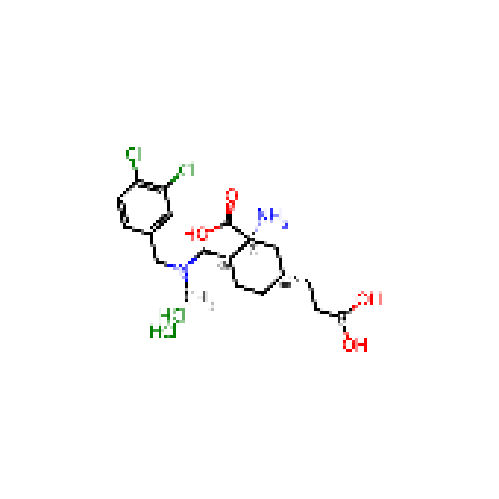 CN(Cc1ccc(Cl)c(Cl)c1)C[C@@H]1CC[C@@H](CCB(O)O)C[C@]1(N)C(=O)O.Cl.Cl